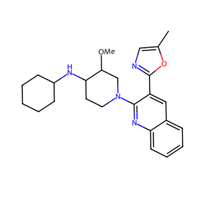 COC1CN(c2nc3ccccc3cc2-c2ncc(C)o2)CCC1NC1CCCCC1